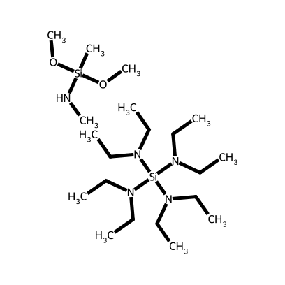 CCN(CC)[Si](N(CC)CC)(N(CC)CC)N(CC)CC.CN[Si](C)(OC)OC